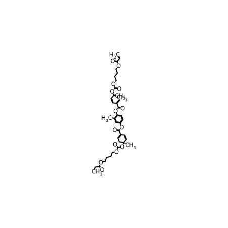 C=CC(=O)OCCCCOC(=O)OC(=C)/C=C\C(=C/C)C(=O)Oc1ccc(OC(=O)C2=CC[C@@](C)(OC(=O)OCCCCOC(=O)CC)C=C2)cc1C